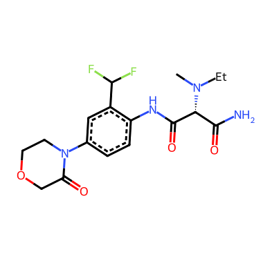 CCN(C)[C@H](C(N)=O)C(=O)Nc1ccc(N2CCOCC2=O)cc1C(F)F